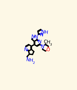 C[C@@H]1COCCN1c1cc(-c2ccnc3c2CCC3CN)c2cnn(-c3cc[nH]n3)c2n1